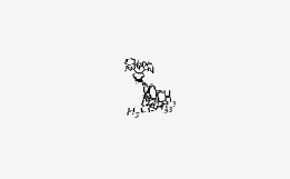 CC1(C)OB(c2ccc3c(c2)C2N=CC=N[C@@H]2N2C3=NC3C=CC=CC32)OC1(C)C